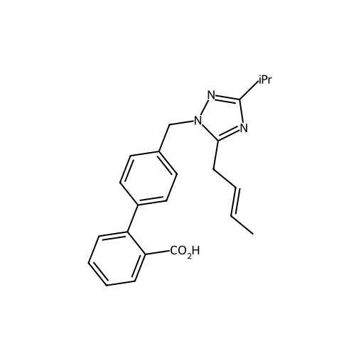 CC=CCc1nc(C(C)C)nn1Cc1ccc(-c2ccccc2C(=O)O)cc1